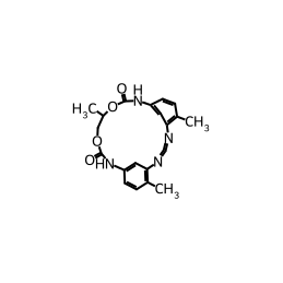 Cc1ccc2cc1N=C=Nc1cc(ccc1C)NC(=O)OC(C)COC(=O)N2